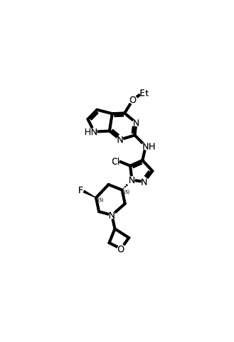 CCOc1nc(Nc2cnn([C@H]3C[C@H](F)CN(C4COC4)C3)c2Cl)nc2[nH]ccc12